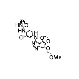 COCCOc1cc2ncnc(Nc3ccc(NC(=O)NC(C)C)c(Cl)c3)c2c2c1OCCO2